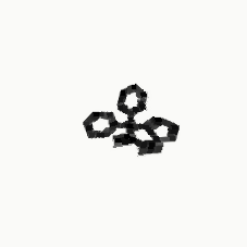 CC(C)(C)N[Si](C1=CC=CC1)(c1ccccc1)c1ccccc1